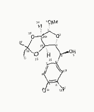 CO[C@@H]1O[C@H]([C@@H](O)c2ccc(Cl)c(F)c2)[C@H]2OC(C)(C)O[C@@H]12